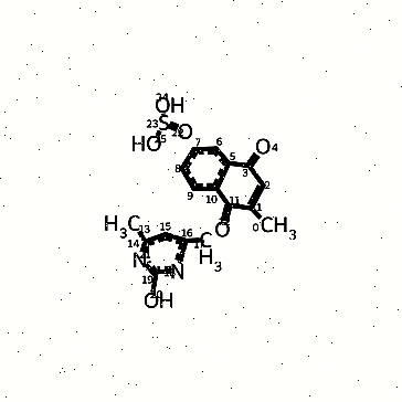 CC1=CC(=O)c2ccccc2C1=O.Cc1cc(C)nc(O)n1.O=S(O)O